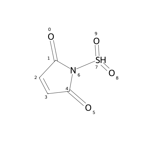 O=C1C=CC(=O)N1[SH](=O)=O